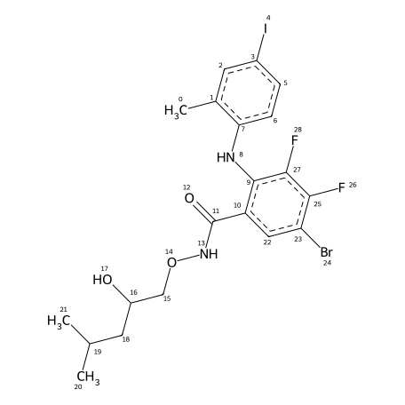 Cc1cc(I)ccc1Nc1c(C(=O)NOCC(O)CC(C)C)cc(Br)c(F)c1F